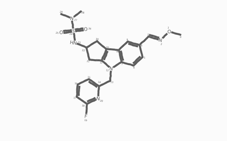 CON=Cc1ccc2c(c1)c1c(n2Cc2cccc(F)n2)CC(NS(=O)(=O)N(C)C)C1